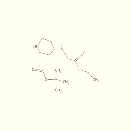 CC(C)(C)OC=O.CCOC(=O)CNC1CCNCC1